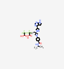 C[C@H](NC(=O)c1ccc(N2CC(CC#N)(n3cc(-c4ncnc5[nH]ccc45)cn3)C2)cc1)C(F)(F)F.O=C(O)C(F)(F)F.O=C(O)C(F)(F)F